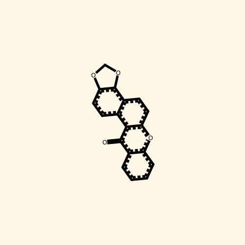 O=c1c2ccccc2oc2ccc3c4c(ccc3c12)OCO4